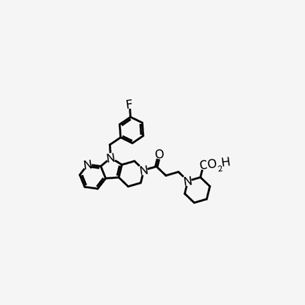 O=C(O)C1CCCCN1CCC(=O)N1CCc2c(n(Cc3cccc(F)c3)c3ncccc23)C1